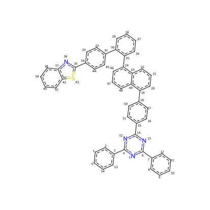 c1ccc(-c2nc(-c3ccccc3)nc(-c3ccc(-c4cccc5c(-c6ccccc6-c6ccc(-c7nc8ccccc8s7)cc6)cccc45)cc3)n2)cc1